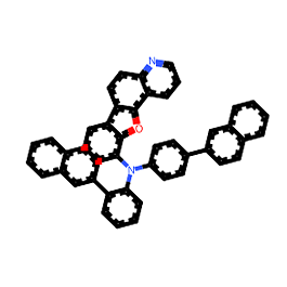 c1ccc(N(c2ccc(-c3ccc4ccccc4c3)cc2)c2cccc3c2oc2c4cccnc4ccc32)c(-c2ccc3ccccc3c2)c1